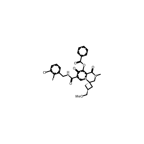 COC[C@H]1C[C@]2(CN(C)C(=O)c3c(OC(=O)c4ccccc4)c(=O)c(C(=O)NCc4cccc(Cl)c4F)cn32)C1